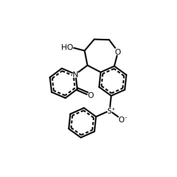 O=c1ccccn1C1c2cc([S+]([O-])c3ccccc3)ccc2OCCC1O